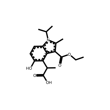 CCOC(=O)c1c(C)n(C(C)C)c2ccc(O)c(C(C)C(=O)O)c12